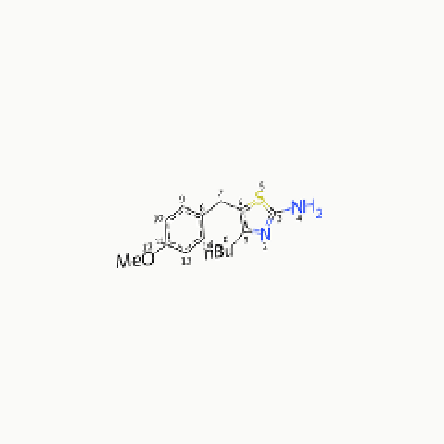 CCCCc1nc(N)sc1Cc1ccc(OC)cc1